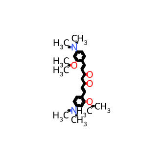 CCN(CC)c1ccc(C=CC(=O)CC(=O)C=Cc2ccc(N(CC)CC)cc2OC(C)C)c(OC(C)C)c1